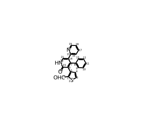 O=Cc1sccc1-c1c(-c2ccccc2)c(-c2ccccn2)c[nH]c1=O